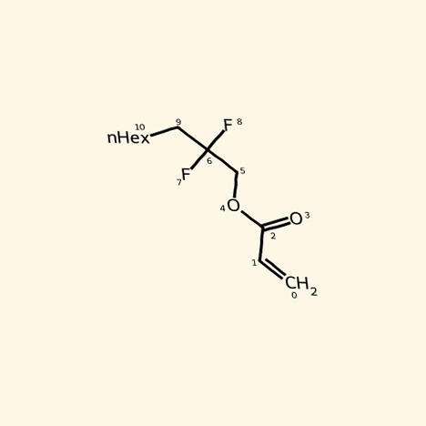 C=CC(=O)OCC(F)(F)CCCCCCC